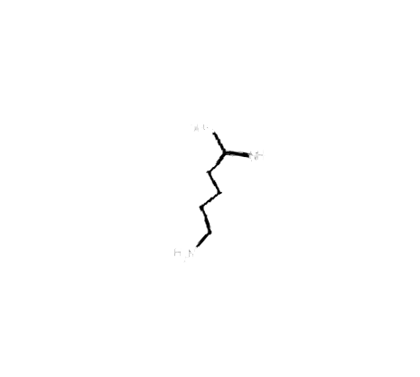 [NH]C([C]=O)CCCCN